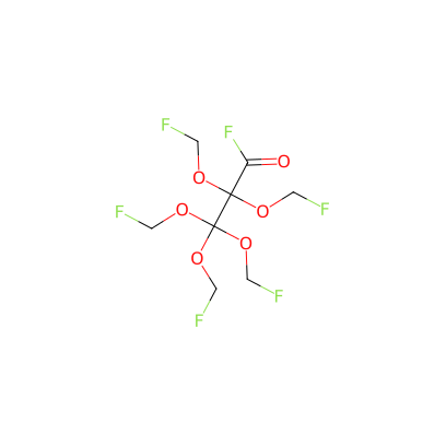 O=C(F)C(OCF)(OCF)C(OCF)(OCF)OCF